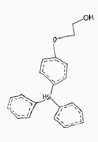 OCCOc1ccc([SiH](c2ccccc2)c2ccccc2)cc1